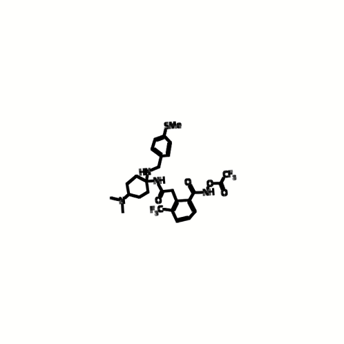 CSc1ccc(CNC2(NC(=O)Cc3c(C(=O)NOC(=O)C(F)(F)F)cccc3C(F)(F)F)CCC(N(C)C)CC2)cc1